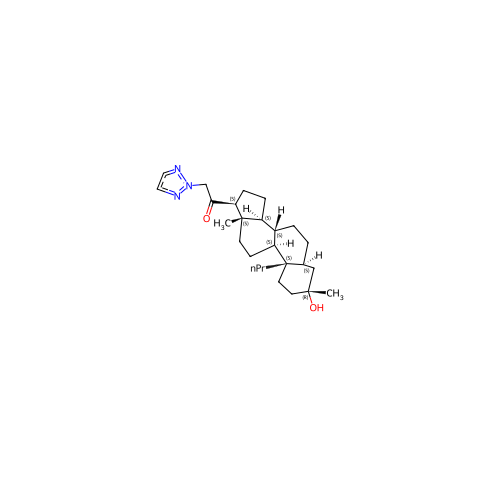 CCC[C@]12CC[C@@](C)(O)C[C@@H]1CC[C@H]1[C@@H]3CC[C@H](C(=O)Cn4nccn4)[C@@]3(C)CC[C@@H]12